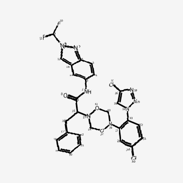 O=C(Nc1ccc2nn(C(F)F)cc2c1)C(Cc1ccccc1)N1CON(c2cc(Cl)ccc2-n2cc(Cl)nn2)CO1